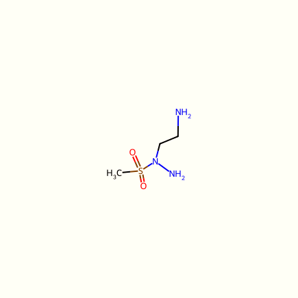 CS(=O)(=O)N(N)CCN